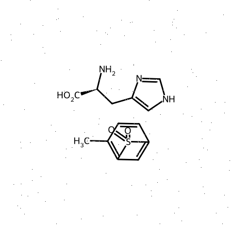 Cc1ccc2cc1S2(=O)=O.N[C@@H](Cc1c[nH]cn1)C(=O)O